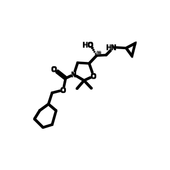 CC1(C)OC([C@H](O)CNC2CC2)CN1C(=O)OCC1CCCCC1